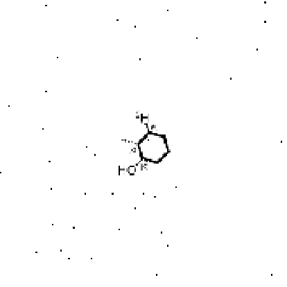 [2H][C@H]1CCC[C@H](O)[C@@H]1C